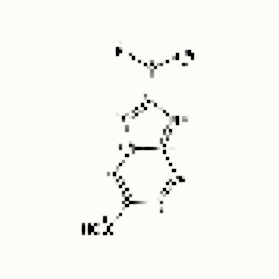 CCCC(CC)c1cn2cc(C(=O)O)ccc2n1